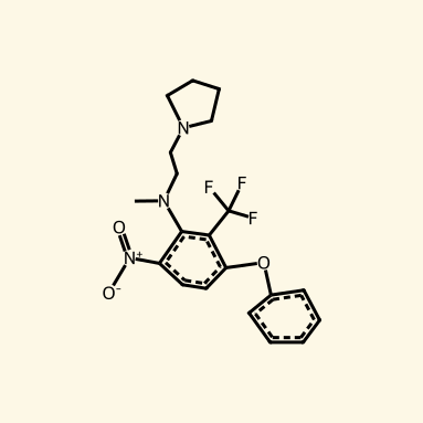 CN(CCN1CCCC1)c1c([N+](=O)[O-])ccc(Oc2ccccc2)c1C(F)(F)F